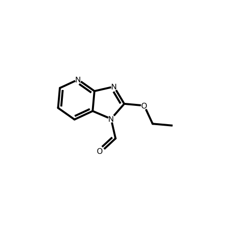 CCOc1nc2ncccc2n1C=O